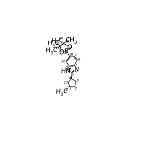 C[C@H]1CCC(c2nc3ccc(B4OC(C)(C)C(C)(C)O4)cc3[nH]2)C1